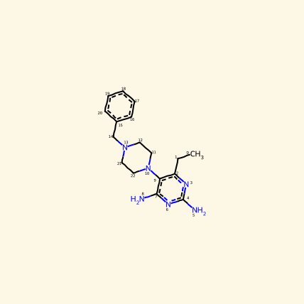 CCc1nc(N)nc(N)c1N1CCN(Cc2ccccc2)CC1